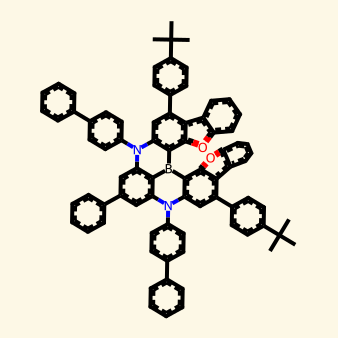 CC(C)(C)c1ccc(-c2cc3c(c4oc5ccccc5c24)B2c4c(cc(-c5ccccc5)cc4N(c4ccc(-c5ccccc5)cc4)c4cc(-c5ccc(C(C)(C)C)cc5)c5c(oc6ccccc65)c42)N3c2ccc(-c3ccccc3)cc2)cc1